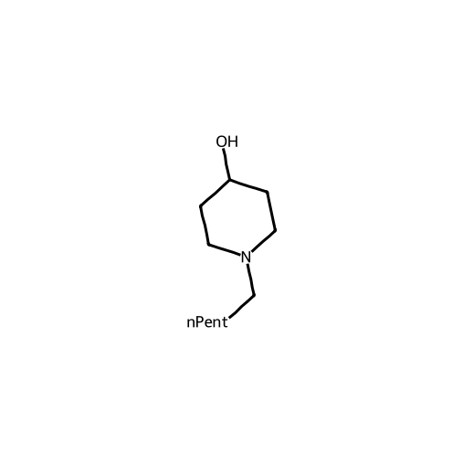 [CH2]CCCCCN1CCC(O)CC1